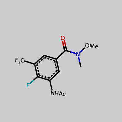 CON(C)C(=O)c1cc(NC(C)=O)c(F)c(C(F)(F)F)c1